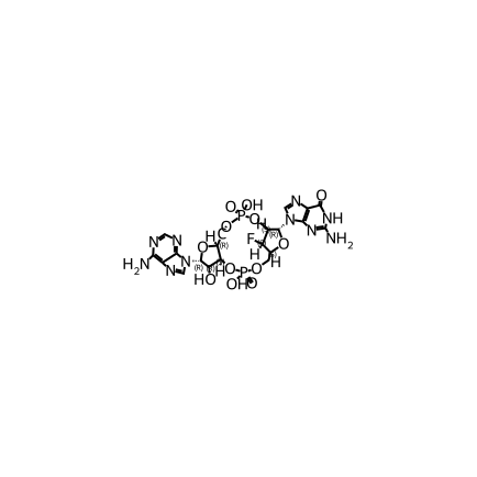 Nc1nc2c(ncn2[C@@H]2O[C@H]3COP(=O)(O)O[C@H]4[C@@H](O)[C@H](n5cnc6c(N)ncnc65)O[C@@H]4COP(=O)(O)O[C@@H]2[C@H]3F)c(=O)[nH]1